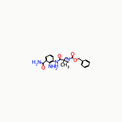 CC1(C(=O)Nc2cccc(C(N)=O)c2N)CN(C(=O)OCc2ccccc2)C1